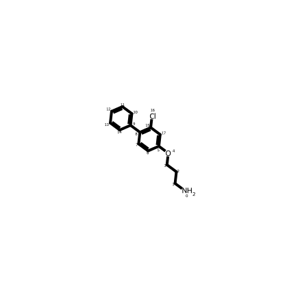 NCCCOc1ccc(-c2ccccc2)c(Cl)c1